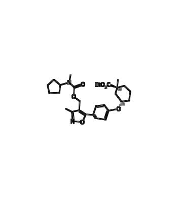 CCOC(=O)[C@@]1(C)CCC[C@H](Oc2ccc(-c3onc(C)c3COC(=O)N(C)C3CCCC3)cc2)C1